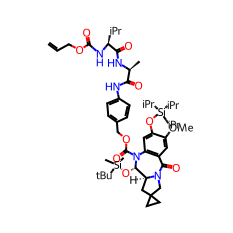 C=CCOC(=O)N[C@H](C(=O)N[C@@H](C)C(=O)Nc1ccc(COC(=O)N2c3cc(O[Si](C(C)C)(C(C)C)C(C)C)c(OC)cc3C(=O)N3CC4(CC4)C[C@H]3[C@@H]2O[Si](C)(C)C(C)(C)C)cc1)C(C)C